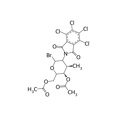 CC(=O)OCC1OC(Br)C(N2C(=O)c3c(Cl)c(Cl)c(Cl)c(Cl)c3C2=O)[C@@H](C)[C@H]1OC(C)=O